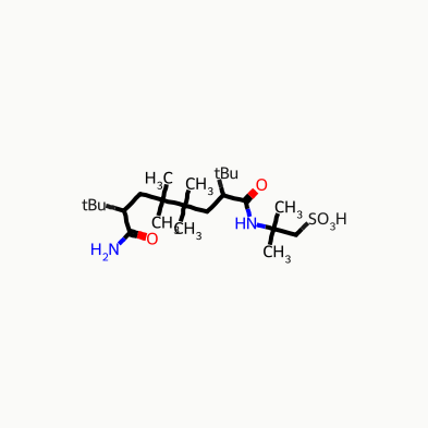 CC(C)(CS(=O)(=O)O)NC(=O)C(CC(C)(C)C(C)(C)CC(C(N)=O)C(C)(C)C)C(C)(C)C